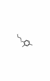 [CH2]CCSc1ccc(C)cc1C